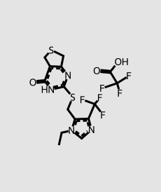 CCn1cnc(C(F)(F)F)c1CSc1nc2c(c(=O)[nH]1)CSC2.O=C(O)C(F)(F)F